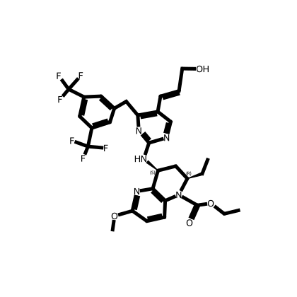 CCOC(=O)N1c2ccc(OC)nc2[C@@H](Nc2ncc(C=CCO)c(Cc3cc(C(F)(F)F)cc(C(F)(F)F)c3)n2)C[C@H]1CC